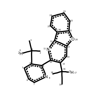 [2H]C(C)(C)c1cccnc1-c1nc2c(cc1C([2H])(C)C)oc1ccccc12